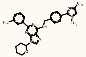 Cn1cc(C(F)(F)F)nc1-c1ccc(CNc2nc(-c3cccc(C(F)(F)F)c3)nc3c2ncn3C2CCCCO2)cc1